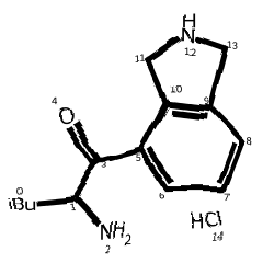 CCC(C)C(N)C(=O)c1cccc2c1CNC2.Cl